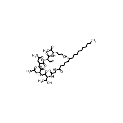 CCCCCCCCCCCCCCCC(=O)NCC(=O)N[C@H](C(=O)N[C@@H](CC(N)=O)C(=O)NC(CC(N)=O)C(=O)N[C@@H](C=O)C(=O)N[C@@H](CCCC)C(C)=O)C(C)O